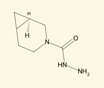 NNC(=O)N1CCC2C[C@H]2C1